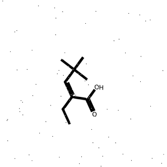 CCC(=CC(C)(C)C)C(=O)O